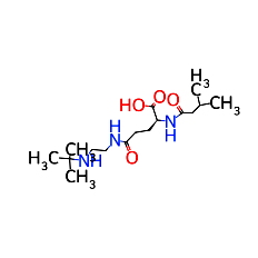 CC(C)CC(=O)N[C@@H](CCC(=O)NCCNC(C)(C)C)C(=O)O